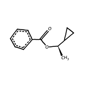 C[C@@H](OC(=O)c1ccccc1)C1CC1